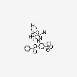 CC(=O)OC(C)(C#N)/N=N/c1cc(S(=O)(=O)Cl)ccc1OC(=O)c1ccccc1